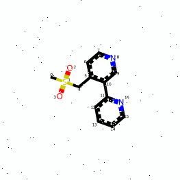 CS(=O)(=O)[CH]c1ccncc1-c1ccccn1